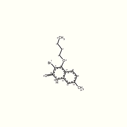 CCCCOc1c(Br)c(=O)[nH]c2cc(C)ccc12